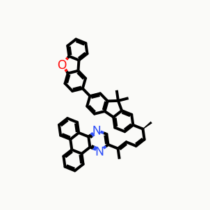 C/C(=C\C=C/[C@H](C)c1ccc2c(c1)C(C)(C)c1cc(-c3ccc4oc5ccccc5c4c3)ccc1-2)c1cnc2c3ccccc3c3ccccc3c2n1